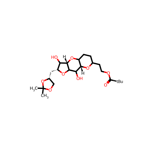 CC1(C)OC[C@@H](C[C@H]2OC3C(O)[C@H]4OC(CCOC(=O)C(C)(C)C)CCC4O[C@H]3C2O)O1